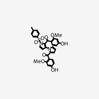 COc1cc(O)ccc1C(=O)c1cccn1-c1ccn(S(=O)(=O)c2ccc(C)cc2)c1C(=O)c1ccc(O)cc1OC